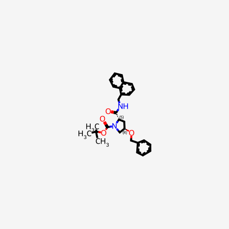 CC(C)(C)OC(=O)N1C[C@H](OCc2ccccc2)C[C@H]1C(=O)NCc1cccc2ccccc12